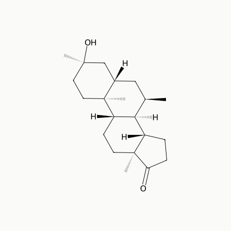 C[C@@H]1C[C@H]2C[C@](C)(O)CC[C@]2(C)[C@H]2CC[C@]3(C)C(=O)CC[C@H]3[C@H]12